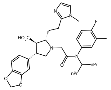 CCCC(CCC)N(C(=O)CN1C[C@H](c2ccc3c(c2)OCO3)[C@@H](C(=O)O)[C@@H]1CCc1nccn1C)c1ccc(F)c(C)c1